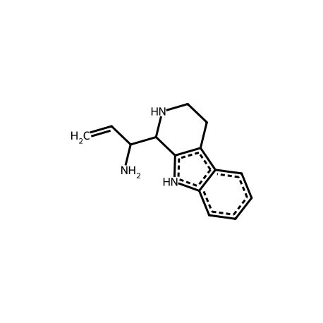 C=CC(N)C1NCCc2c1[nH]c1ccccc21